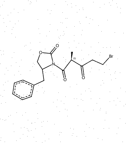 C[C@@H](C(=O)CCBr)C(=O)N1C(=O)OCC1Cc1ccccc1